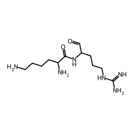 N=C(N)NCCCC(C=O)NC(=O)C(N)CCCCN